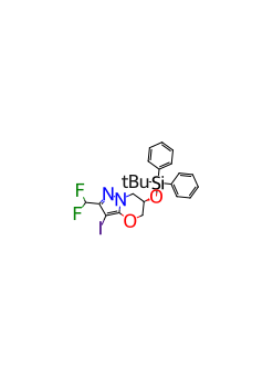 CC(C)(C)[Si](O[C@H]1COc2c(I)c(C(F)F)nn2C1)(c1ccccc1)c1ccccc1